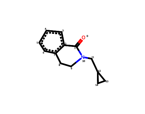 O=C1c2ccccc2[CH]CN1CC1CC1